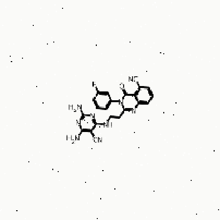 N#Cc1c(N)nc(N)nc1NCCc1nc2cccc(C#N)c2c(=O)n1-c1cccc(F)c1